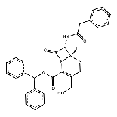 O=C(Cc1ccccc1)N[C@H]1C(=O)N2C(C(=O)OC(c3ccccc3)c3ccccc3)=C(CO)CS[C@@H]12